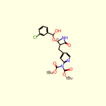 CC(C)(C)OC(=O)N(C(=O)OC(C)(C)C)c1cc(CC2C(=O)N[C@@H]2OC(O)c2cccc(Cl)c2)ccn1